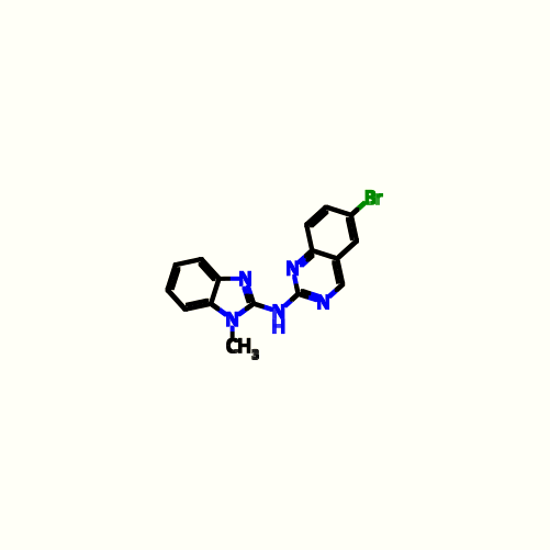 Cn1c(Nc2ncc3cc(Br)ccc3n2)nc2ccccc21